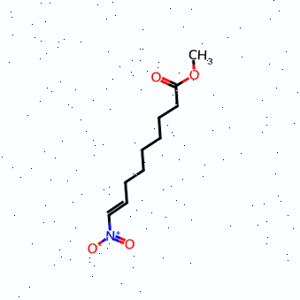 COC(=O)CCCCCCC=C[N+](=O)[O-]